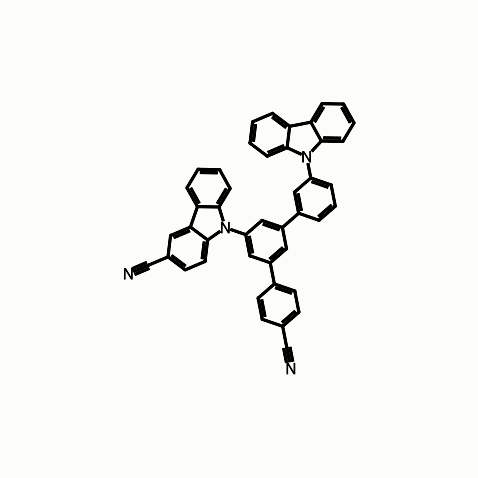 N#Cc1ccc(-c2cc(-c3cccc(-n4c5ccccc5c5ccccc54)c3)cc(-n3c4ccccc4c4cc(C#N)ccc43)c2)cc1